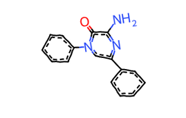 Nc1nc(-c2ccccc2)cn(-c2ccccc2)c1=O